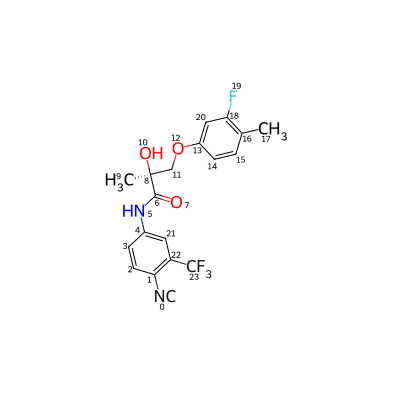 [C-]#[N+]c1ccc(NC(=O)[C@@](C)(O)COc2ccc(C)c(F)c2)cc1C(F)(F)F